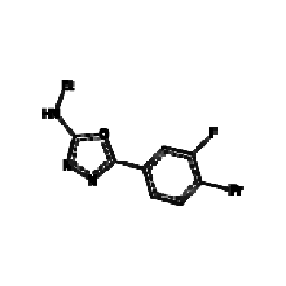 CCNc1nnc(-c2ccc(C(C)C)c(F)c2)o1